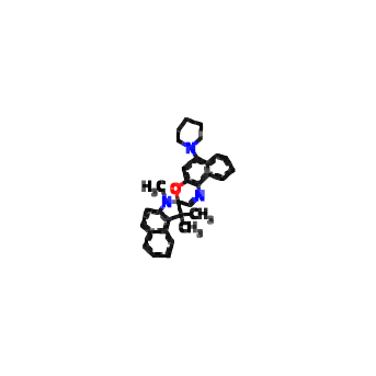 CN1c2ccc3ccccc3c2C(C)(C)C12C=Nc1c(cc(N3CCCCC3)c3ccccc13)O2